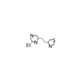 CCc1cncc(CCc2cscn2)n1